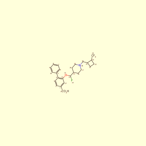 O=C(O)c1ccc(-c2ccccc2)c(OC(F)C2CCN(CC3CCC3C(F)(F)F)CC2)c1